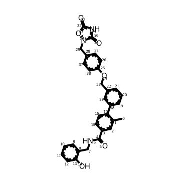 Cc1cc(C(=O)NCc2ccccc2O)ccc1-c1cccc(COc2ccc(Cn3oc(=O)[nH]c3=O)cc2)c1